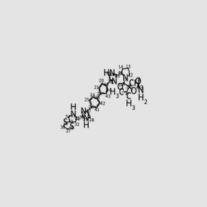 CC(C)[C@](C)(OC(N)=O)C(=O)N1CCC[C@H]1c1nc(-c2ccc(-c3ccc(-c4c[nH]c([C@@H]5CC6(CN5)SCCS6)n4)cc3)cc2)c[nH]1